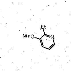 [CH2]Cc1ncccc1OC